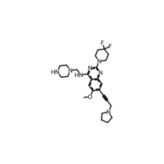 COc1cc2c(NCN3CCNCC3)nc(N3CCC(F)(F)CC3)nc2cc1C#CCN1CCCC1